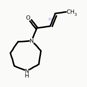 C/C=C/C(=O)N1CCCNCC1